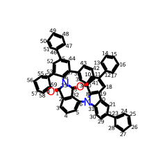 O=C1c2cccc(-n3c4ccc(-c5ccccc5)cc4c4cc(-c5ccccc5)ccc43)c2C(=O)N1c1c(-c2ccccc2)cc(-c2ccccc2)cc1-c1ccccc1